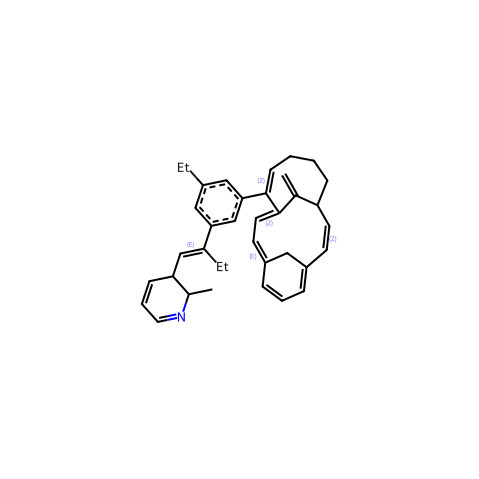 C=C1C2=C/C=C3/C=CC=C(/C=C\C1CCC/C=C\2c1cc(CC)cc(/C(=C/C2C=CC=NC2C)CC)c1)C3